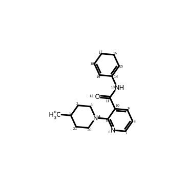 CC1CCN(c2ncccc2C(=O)NC2=CC[CH]C=C2)CC1